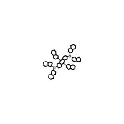 C1=Cc2cc(N(c3ccc4c(c3)CCC=C4)c3ccc4c(-c5ccc6ccccc6c5)c5cc(N(c6ccc7ccccc7c6)c6ccc7ccccc7c6)ccc5c(-c5ccc6ccccc6c5)c4c3)ccc2CC1